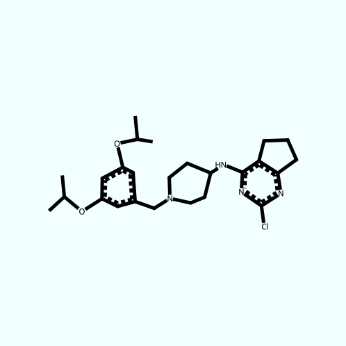 CC(C)Oc1cc(CN2CCC(Nc3nc(Cl)nc4c3CCC4)CC2)cc(OC(C)C)c1